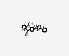 COc1cc(-n2nnc(-c3ccccn3)n2)ccc1C(C#N)c1ccccn1